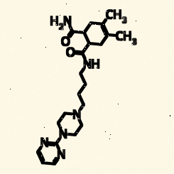 CC1=C(C)CC(C(=O)NCCCCN2CCN(c3ncccn3)CC2)C(C(N)=O)C1